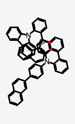 c1ccc(N(c2ccc(-c3ccc4ccccc4c3)cc2)c2ccc(-c3ccccc3-n3c4ccccc4c4ccccc43)cc2)c(-c2cccc3oc4c5ccccc5ccc4c23)c1